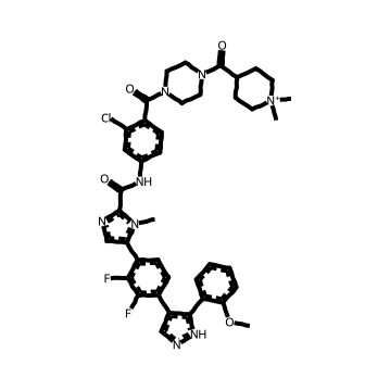 COc1ccccc1-c1[nH]ncc1-c1ccc(-c2cnc(C(=O)Nc3ccc(C(=O)N4CCN(C(=O)C5CC[N+](C)(C)CC5)CC4)c(Cl)c3)n2C)c(F)c1F